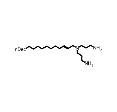 CCCCCCCCCCCCCCCCCCC=CCN(CCCN)CCCN